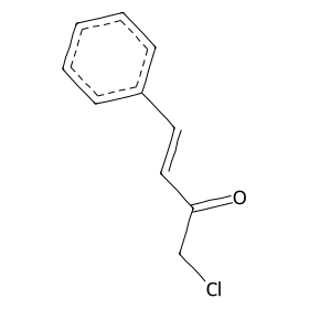 O=C(/C=C/c1ccccc1)CCl